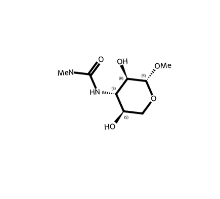 CNC(=O)N[C@@H]1[C@@H](O)[C@H](OC)OC[C@H]1O